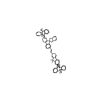 CC1(C)C2=CC(/C=C/c3ccc4c(c3)C3(CC5C=CC=CC5C3)C3=C4CCC(N4c5ccccc5SC5C=CC=CC54)=C3)CC=C2c2ccc(N3c4ccccc4Sc4ccccc43)cc21